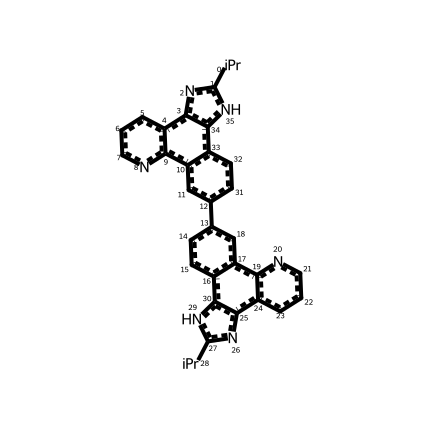 CC(C)c1nc2c3cccnc3c3cc(-c4ccc5c(c4)c4ncccc4c4nc(C(C)C)[nH]c54)ccc3c2[nH]1